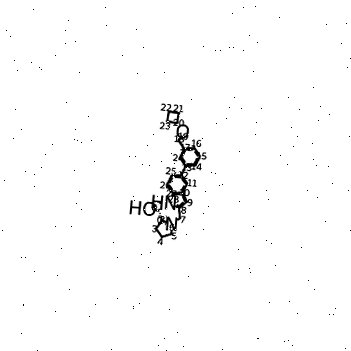 OC[C@H]1CCCN1Cc1cc2cc(-c3cccc(COC4CCC4)c3)ccc2[nH]1